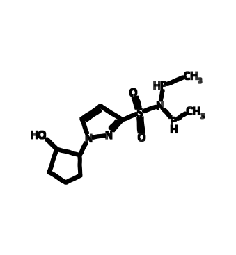 CPN(PC)S(=O)(=O)c1ccn(C2CCCC2O)n1